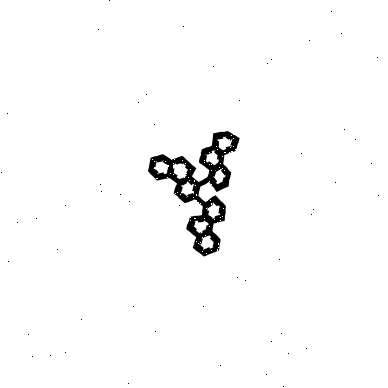 [c]1cc2c(ccc3ccccc32)c(-c2cccc3c2ccc2ccccc23)c1-c1cccc2c1ccc1ccccc12